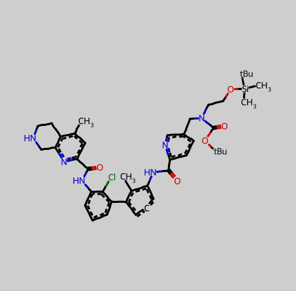 Cc1cc(C(=O)Nc2cccc(-c3cccc(NC(=O)c4ccc(CN(CCO[Si](C)(C)C(C)(C)C)C(=O)OC(C)(C)C)cn4)c3C)c2Cl)nc2c1CCNC2